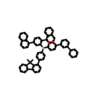 CC1(C)c2ccccc2-c2cccc(-c3ccc(N(c4ccc(-c5cccc(-c6ccccc6)c5)cc4)c4cc(-c5cccc6ccccc56)ccc4-c4cccc5ccccc45)cc3)c21